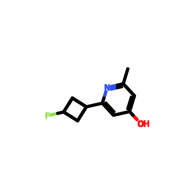 Cc1cc(O)cc(C2CC(F)C2)n1